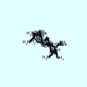 C[C@H](NC(=O)[C@@H](CCCN)NC(=O)CNC(=O)[C@@H](NC(=O)[C@@H](NC(=O)[C@@H](N)CCCCN)[C@@H](O)CN)[C@@H](O)CN)C(=O)N[C@@H](Cc1cnc[nH]1)C(=O)N[C@@H](CCCCN)C(=O)CC/C(=C\CCNC(=N)N)C(=O)N[C@@H](CCCCN)C(=O)NCCCCN